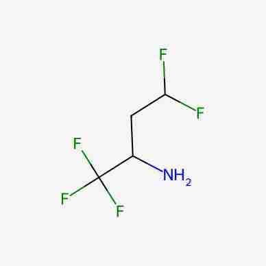 NC(CC(F)F)C(F)(F)F